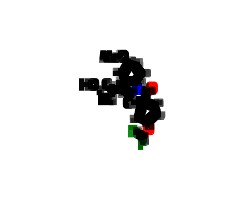 CCC(C)[C@H](C(=O)O)c1c(C)n(C(=O)c2ccc(OC(F)F)cc2)c2ccc(OC)cc12